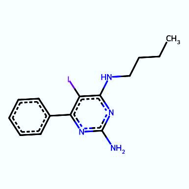 CCCCNc1nc(N)nc(-c2ccccc2)c1I